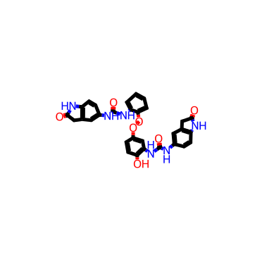 O=C1Cc2cc(NC(=O)Nc3cc(OOc4ccccc4NC(=O)Nc4ccc5c(c4)CC(=O)N5)ccc3O)ccc2N1